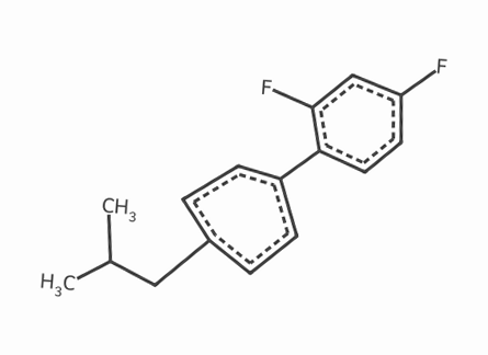 CC(C)Cc1ccc(-c2ccc(F)cc2F)cc1